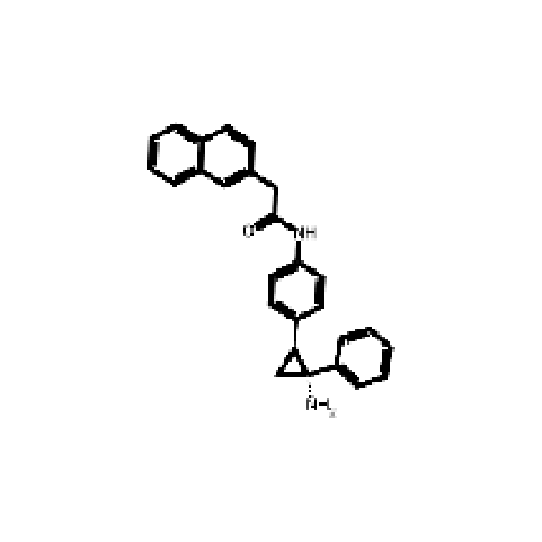 N[C@]1(c2ccccc2)C[C@H]1c1ccc(NC(=O)Cc2ccc3ccccc3c2)cc1